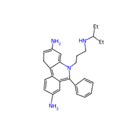 CCC(CC)NCCCN1C2=CC(N)=CCC2=c2ccc(N)cc2=C1c1ccccc1